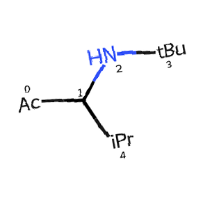 CC(=O)C(NC(C)(C)C)C(C)C